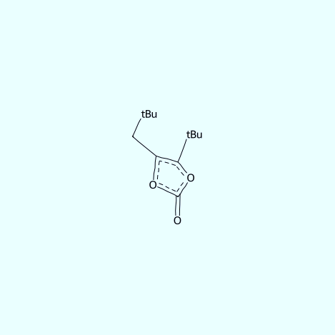 CC(C)(C)Cc1oc(=O)oc1C(C)(C)C